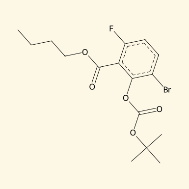 CCCCOC(=O)c1c(F)ccc(Br)c1OC(=O)OC(C)(C)C